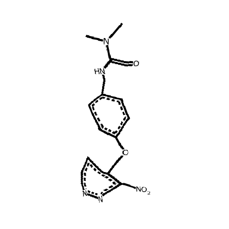 CN(C)C(=O)Nc1ccc(Oc2ccnnc2[N+](=O)[O-])cc1